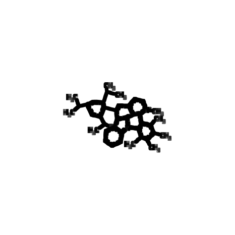 Cc1c(C)c(C)c2c(c1C)c1c3c(cc[n+]1C)cc(-c1c(C(C)C)cc(C(C)C)cc1C(C)C)c1c4ccccc4n2c13